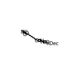 CCCCCCCCCCOc1ccc(/N=N/c2ccc(OCCCCCCCCCCOC(=O)C=[N+]=[N-])cc2)cc1